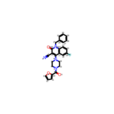 N#Cc1c(N2CCN(C(=O)c3ccco3)CC2)c2cc(F)ccc2n(Cc2ccccc2)c1=O